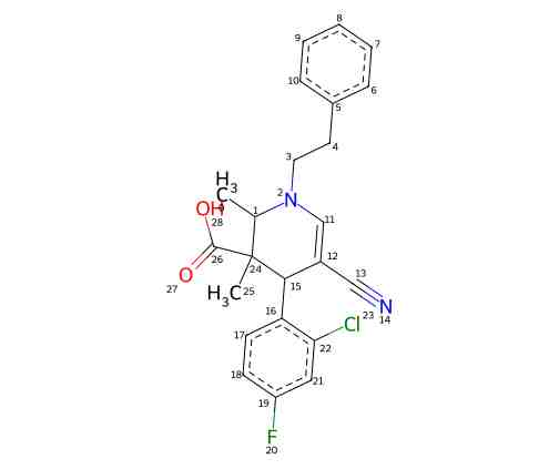 CC1N(CCc2ccccc2)C=C(C#N)C(c2ccc(F)cc2Cl)C1(C)C(=O)O